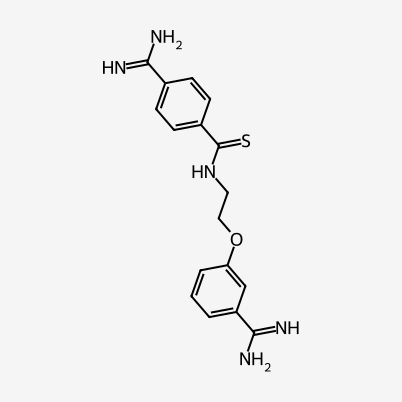 N=C(N)c1ccc(C(=S)NCCOc2cccc(C(=N)N)c2)cc1